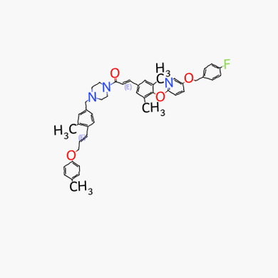 Cc1ccc(OC/C=C/c2ccc(CN3CCN(C(=O)/C=C/c4cc(C)c(Oc5ccc(OCc6ccc(F)cc6)cn5)c(C)c4)CC3)cc2C)cc1